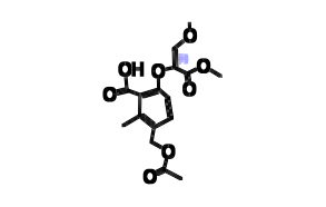 CO/C=C(/Oc1ccc(COC(C)=O)c(C)c1C(=O)O)C(=O)OC